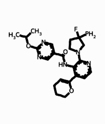 CC(C)Oc1ncc(C(=O)Nc2c(C3=CCCCO3)ccnc2N2CCC(F)(P)C2)cn1